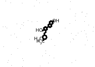 CC1CCCC(CCc2cc(-c3ccc4cc(O)ccc4c3)ccc2CO)CC1C